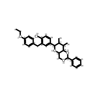 CCOc1ccc(Cc2cc(C3OC4COC(c5ccccc5)OC4C(C)C3C)ccc2Cl)cc1